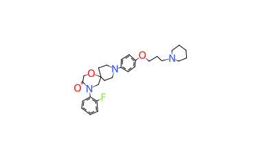 O=C1COC2(CCN(c3ccc(OCCCN4CCCCC4)cc3)CC2)CN1c1ccccc1F